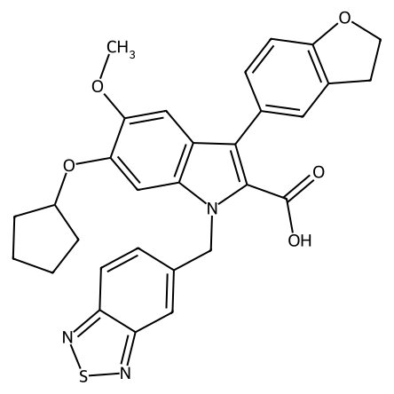 COc1cc2c(-c3ccc4c(c3)CCO4)c(C(=O)O)n(Cc3ccc4nsnc4c3)c2cc1OC1CCCC1